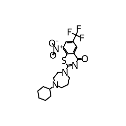 O=c1nc(N2CCCN(C3CCCCC3)CC2)sc2c([N+](=O)[O-])cc(C(F)(F)F)cc12